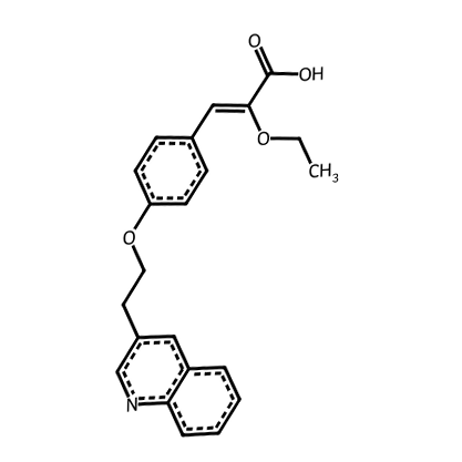 CCOC(=Cc1ccc(OCCc2cnc3ccccc3c2)cc1)C(=O)O